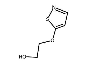 OCCOc1ccns1